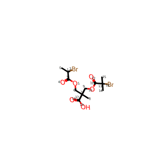 CC(Br)C(=O)OCC(C)(COC(=O)C(C)(C)Br)C(=O)O